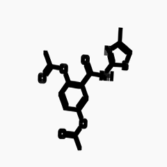 CC(=O)Oc1ccc(OC(C)=O)c(C(=O)Nc2nc(C)cs2)c1